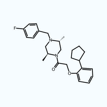 C[C@@H]1CN(C(=O)COc2ccccc2C2CCCC2)[C@@H](C)CN1Cc1ccc(F)cc1